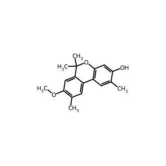 COc1cc2c(cc1C)-c1cc(C)c(O)cc1OC2(C)C